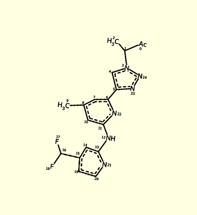 CC(=O)C(C)n1cc(-c2cc(C)cc(Nc3cc(C(F)F)ccn3)n2)nn1